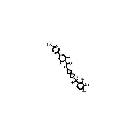 [2H]c1ccc(C([2H])([2H])N2CC3(CC(OC(=O)N4[C@H](C)CN(c5cnc(C(F)(F)F)cn5)C[C@@H]4C)C3)C2)c([2H])c1[2H]